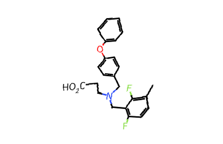 Cc1ccc(F)c(CN(CCC(=O)O)Cc2ccc(Oc3ccccc3)cc2)c1F